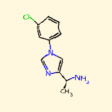 C[C@H](N)c1cn(-c2cccc(Cl)c2)cn1